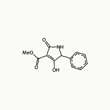 COC(=O)C1=C(O)C(c2ccccc2)NC1=O